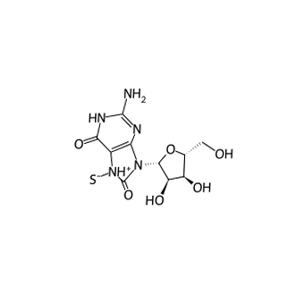 Nc1nc2c(c(=O)[nH]1)[NH+]([S-])C(=O)N2[C@@H]1O[C@H](CO)[C@@H](O)[C@H]1O